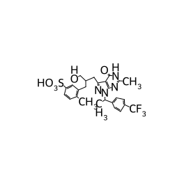 Cc1nc2c(c(CC(CO)Cc3cc(S(=O)(=O)O)ccc3C)nn2C(C)c2ccc(C(F)(F)F)cc2)c(=O)[nH]1